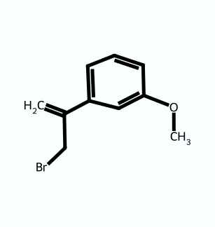 C=C(CBr)c1cccc(OC)c1